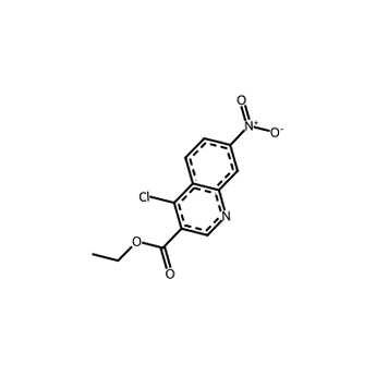 CCOC(=O)c1cnc2cc([N+](=O)[O-])ccc2c1Cl